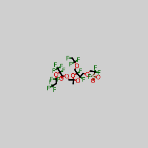 CC1(COC(=O)C(F)(OC(F)(F)CC(F)(F)F)C(F)(F)F)OC(F)(COCC(F)(F)S(=O)(=O)F)C(F)(COC(F)(F)CF)O1